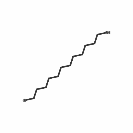 [S]CCCCCCCCCCCCS